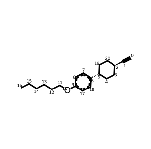 C#C[C@H]1CC[C@H](c2ccc(OCCCCCC)cc2)CC1